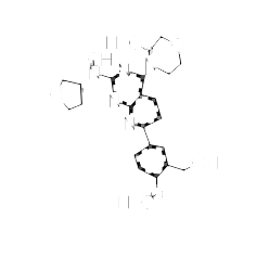 COc1ccc(-c2ccc3c(N4CCOC[C@@H]4C)nc(N(C)[C@@H]4CCOC4)nc3n2)cc1CO